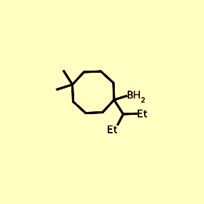 BC1(C(CC)CC)CCCC(C)(C)CCC1